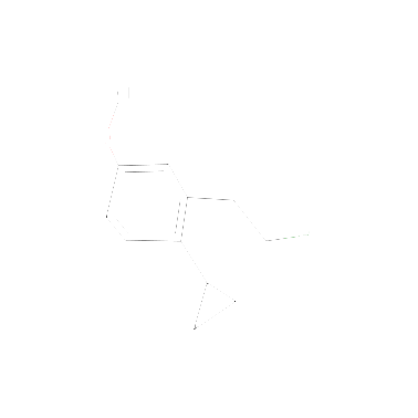 FC(F)(F)Oc1[c]c(CCBr)c(C2CC2)cc1